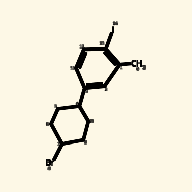 Cc1cc(C2CCC(Br)CC2)ccc1I